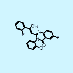 O=c1c2cc(F)ccc2nc(C=C(O)c2ccccc2F)n1-c1ccccc1Cl